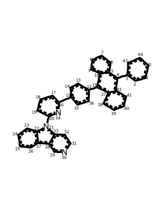 c1ccc(-c2c3ccccc3c(-c3ccc(-c4cccc(-n5c6ccccc6c6cnccc65)n4)cc3)c3ccccc23)cc1